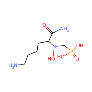 NCCCCC(C(N)=O)N(O)CP(=O)(O)O